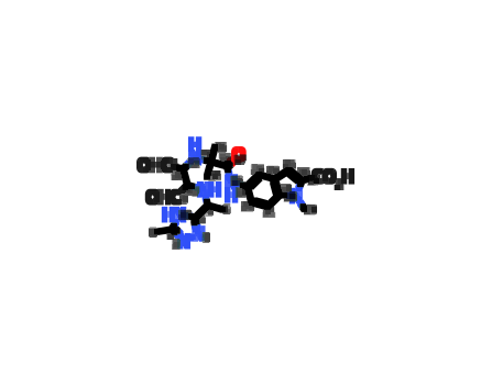 Cc1nnc(C(C)NC(C=O)C(C=O)NC(C)(C)C(=O)Nc2ccc3c(c2)cc(C(=O)O)n3C)[nH]1